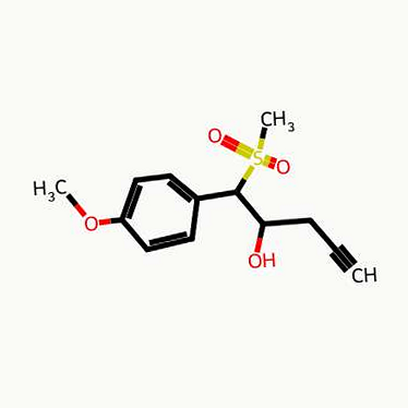 C#CCC(O)C(c1ccc(OC)cc1)S(C)(=O)=O